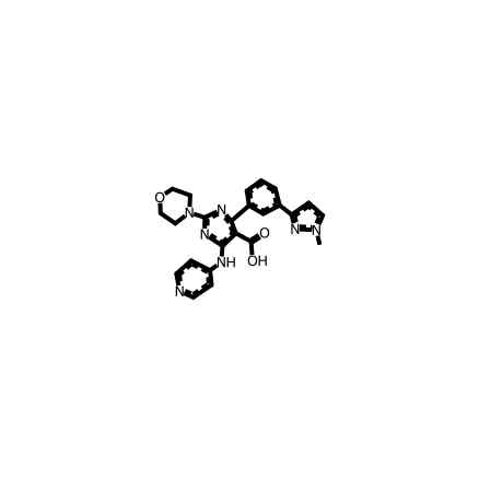 Cn1ccc(-c2cccc(-c3nc(N4CCOCC4)nc(Nc4ccncc4)c3C(=O)O)c2)n1